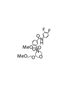 COCCOC1COCCN(S(=O)(=O)c2cc(C(=O)Nc3ccc(F)c(F)c3)ccc2OC)C1